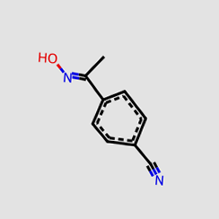 CC(=NO)c1ccc(C#N)cc1